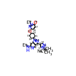 CCNc1cc2c(cn1)c(-c1cnn(C(C)(C)C#N)c1)nn2[C@H]1CC[C@@H](Oc2ccc(=O)n(CC)n2)CC1